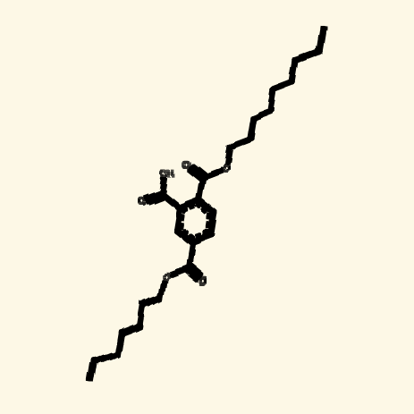 CCCCCCCCCOC(=O)c1ccc(C(=O)OCCCCCCC)cc1C(=O)O